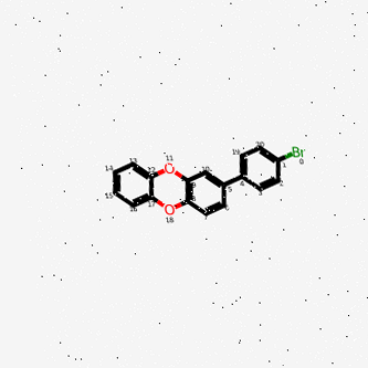 Brc1ccc(-c2ccc3c(c2)Oc2ccccc2O3)cc1